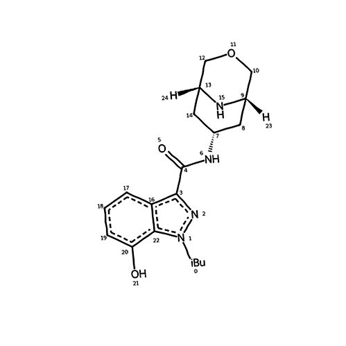 CCC(C)n1nc(C(=O)N[C@H]2C[C@H]3COC[C@@H](C2)N3)c2cccc(O)c21